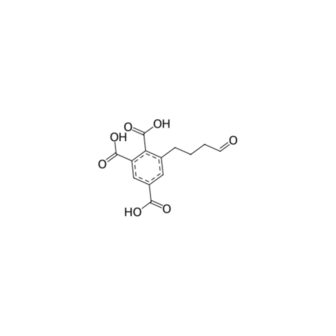 O=CCCCc1cc(C(=O)O)cc(C(=O)O)c1C(=O)O